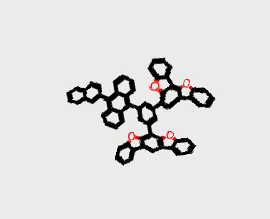 c1ccc2cc(-c3c4ccccc4c(-c4cc(-c5c6oc7ccccc7c6cc6c5oc5ccccc56)cc(-c5cc6c7ccccc7oc6c6c5oc5ccccc56)c4)c4ccccc34)ccc2c1